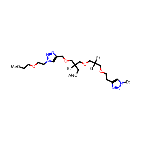 CCn1cc(CCOCC(CC)(CC)COCC(CC)(COC)COCc2cn(CCOCCOC)nn2)nn1